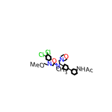 COCCN(CC(=O)N(C)C(CN1CCOCC1)c1ccc(-c2cccc(NC(C)=O)c2)cc1)c1ccc(Cl)c(Cl)c1